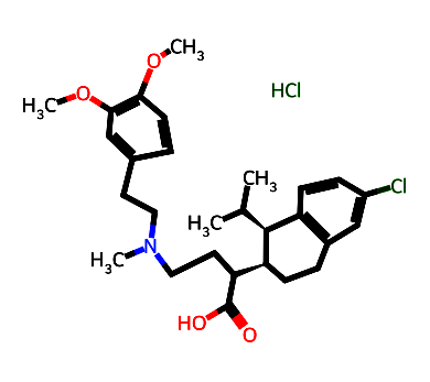 COc1ccc(CCN(C)CCC(C(=O)O)[C@@H]2CCc3cc(Cl)ccc3[C@@H]2C(C)C)cc1OC.Cl